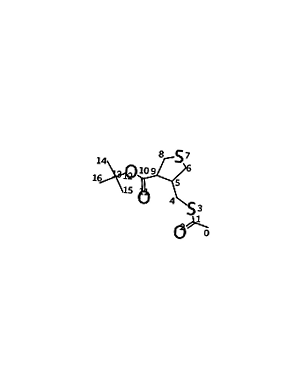 CC(=O)SCC1CSCC1C(=O)OC(C)(C)C